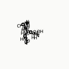 CC[C@H](C)[C@@H](CO)NC(=O)Nc1ccc(C[C@H](NC(=O)C(=O)Nc2cc(Cl)ccc2-n2cnnn2)C(=O)Nc2ccc3[nH]c(C(=O)OC(C)(C)C)cc3c2)cc1